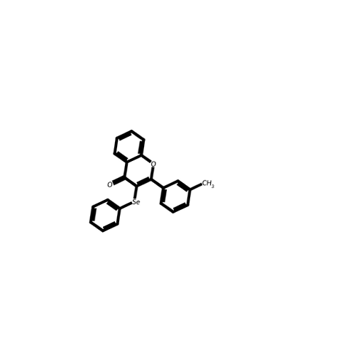 Cc1cccc(-c2oc3ccccc3c(=O)c2[Se]c2ccccc2)c1